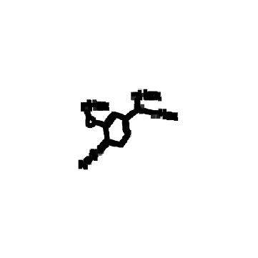 CCCCCCOC1=CC(N(CCCCCC)CCCCCC)=CCC1=[N+]=[N-]